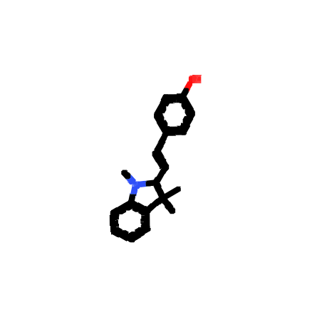 CN1c2ccccc2C(C)(C)C1C=Cc1ccc(O)cc1